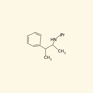 CC(C)NC(C)C(C)c1ccccc1